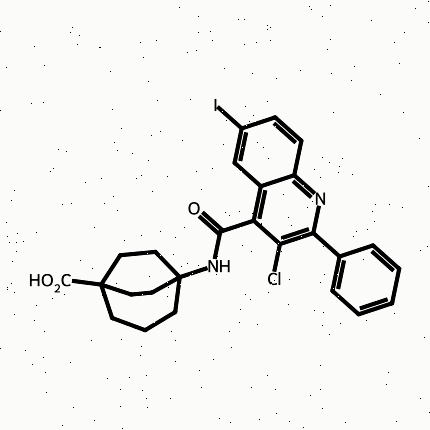 O=C(NC12CCCC(C(=O)O)(CC1)CC2)c1c(Cl)c(-c2ccccc2)nc2ccc(I)cc12